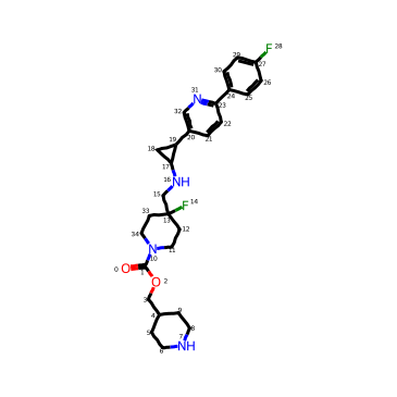 O=C(OCC1CCNCC1)N1CCC(F)(CNC2CC2c2ccc(-c3ccc(F)cc3)nc2)CC1